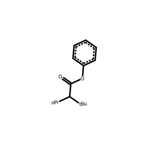 CCCC(C(=O)Oc1ccccc1)C(C)(C)C